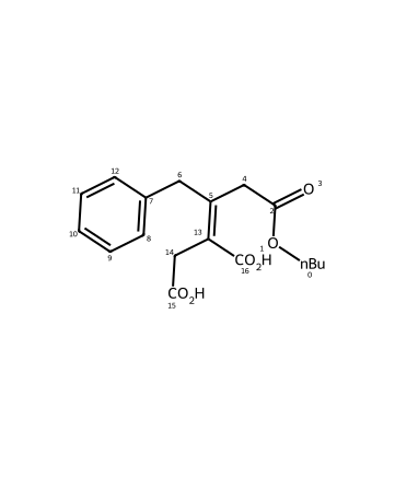 CCCCOC(=O)CC(Cc1ccccc1)=C(CC(=O)O)C(=O)O